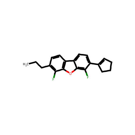 CCCc1ccc2c(oc3c(F)c(C4=CCCC4)ccc32)c1F